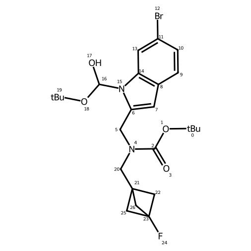 CC(C)(C)OC(=O)N(Cc1cc2ccc(Br)cc2n1C(O)OC(C)(C)C)CC12CC(F)(C1)C2